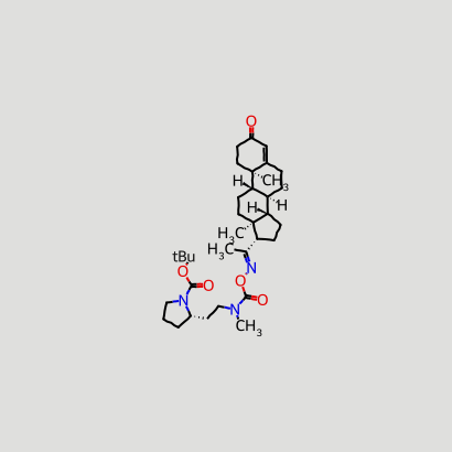 C/C(=N\OC(=O)N(C)CC[C@@H]1CCCN1C(=O)OC(C)(C)C)[C@H]1CC[C@H]2[C@@H]3CCC4=CC(=O)CC[C@]4(C)[C@H]3CC[C@]12C